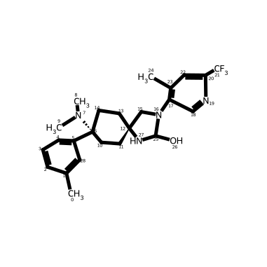 Cc1cccc([C@]2(N(C)C)CC[C@@]3(CC2)CN(c2cnc(C(F)(F)F)cc2C)C(O)N3)c1